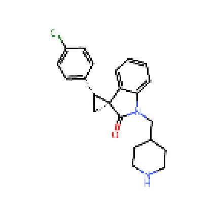 O=C1N(CC2CCNCC2)c2ccccc2[C@@]12C[C@@H]2c1ccc(Cl)cc1